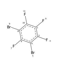 Fc1c(F)c(Br)c(F)c(Br)c1F